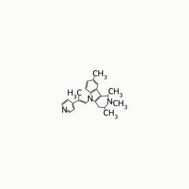 CC(=Cn1c2c(c3cc(C)ccc31)C(C)N(C)C(C)C2)c1ccncc1